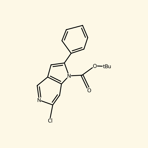 CC(C)(C)OC(=O)n1c(-c2ccccc2)cc2cnc(Cl)cc21